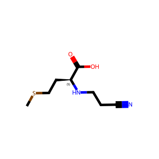 CSCC[C@H](NCCC#N)C(=O)O